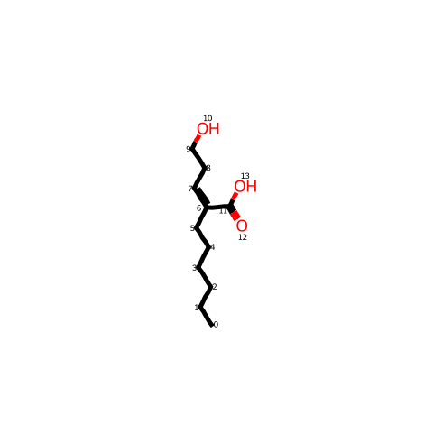 CCCCCCC(=CCCO)C(=O)O